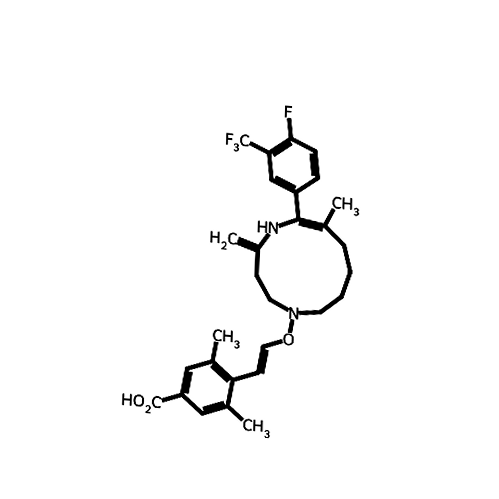 C=C1CCN(O/C=C/c2c(C)cc(C(=O)O)cc2C)CCCC/C(C)=C(/c2ccc(F)c(C(F)(F)F)c2)N1